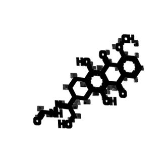 COc1cccc2c1C(=O)c1c(O)c3c(c(O)c1C2=O)CC(/C(CO)=N/NC=O)CC3